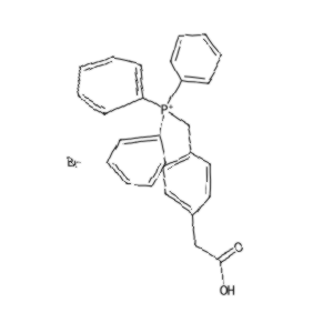 O=C(O)Cc1ccc(C[P+](c2ccccc2)(c2ccccc2)c2ccccc2)cc1.[Br-]